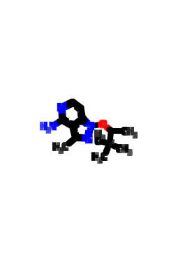 Cc1nn(OC(C)[Si](C)(C)C)c2ccnc(N)c12